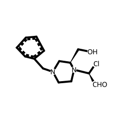 O=C[C@H](Cl)N1CCN(Cc2ccccc2)C[C@H]1CO